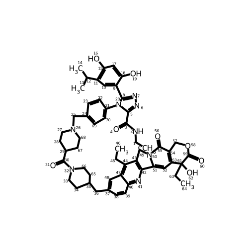 CCNC(=O)c1nnc(-c2cc(C(C)C)c(O)cc2O)n1-c1ccc(CN2CCC(C(=O)N3CCC([CH]c4ccc5nc6c(c(CC)c5c4)Cn4c-6cc5c(c4=O)COC(=O)C5(O)CC)CC3)CC2)cc1